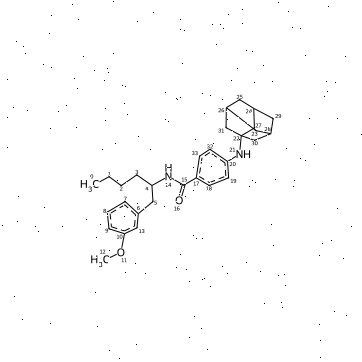 CCCCC(Cc1cccc(OC)c1)NC(=O)c1ccc(NC23CC4CC(CC(C4)C2)C3)cc1